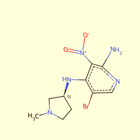 CN1CC[C@H](Nc2c(Br)cnc(N)c2[N+](=O)[O-])C1